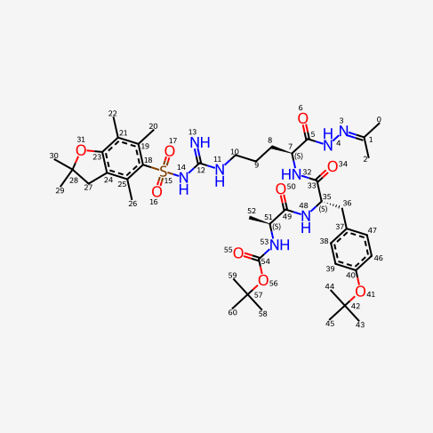 CC(C)=NNC(=O)[C@H](CCCNC(=N)NS(=O)(=O)c1c(C)c(C)c2c(c1C)CC(C)(C)O2)NC(=O)[C@H](Cc1ccc(OC(C)(C)C)cc1)NC(=O)[C@H](C)NC(=O)OC(C)(C)C